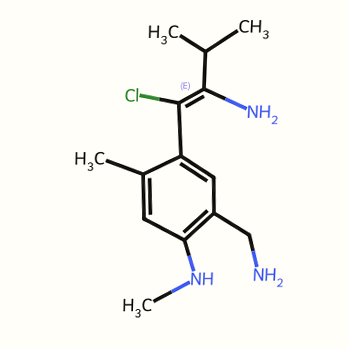 CNc1cc(C)c(/C(Cl)=C(\N)C(C)C)cc1CN